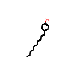 CCCCCC/C=C/C=C/c1ccc(O)cc1